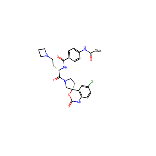 COC(=O)Nc1ccc(C(=O)N[C@@H](CCN2CCC2)C(=O)N2CC[C@@]3(C2)OC(=O)Nc2ccc(Cl)cc23)cc1